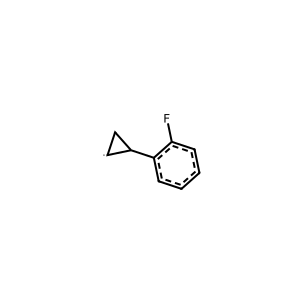 Fc1ccccc1C1[CH]C1